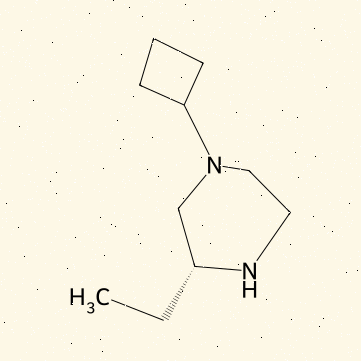 CC[C@@H]1CN(C2CCC2)CCN1